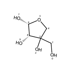 OCC1(O)CO[C@@H](O)[C@H]1O